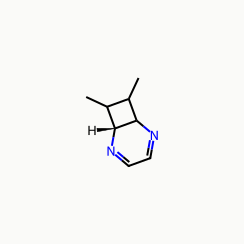 CC1C(C)[C@H]2N=CC=NC12